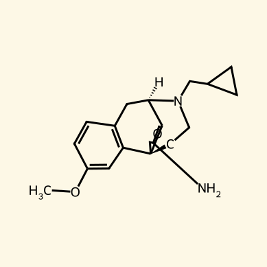 COc1ccc2c(c1)[C@]13CCN(CC4CC4)[C@H](C2)C1OCC(N)C3